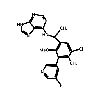 COc1c(C(C)Nc2ncnc3[nH]cnc23)cc(Cl)c(C)c1-c1cncc(F)c1